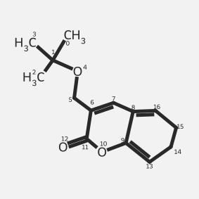 CC(C)(C)OCc1cc2c(oc1=O)=CCCC=2